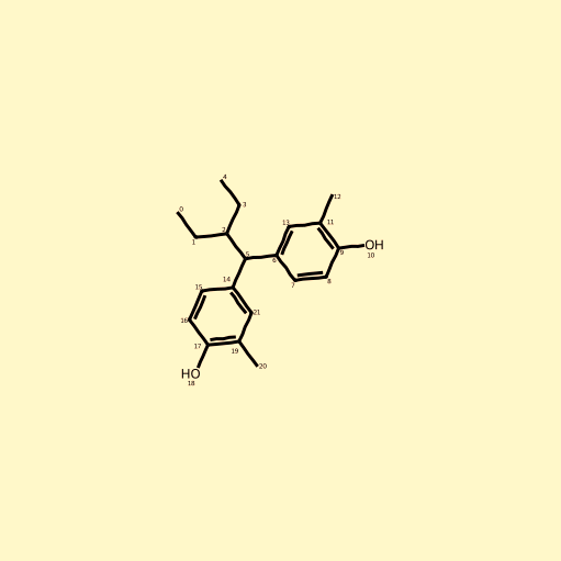 CCC(CC)C(c1ccc(O)c(C)c1)c1ccc(O)c(C)c1